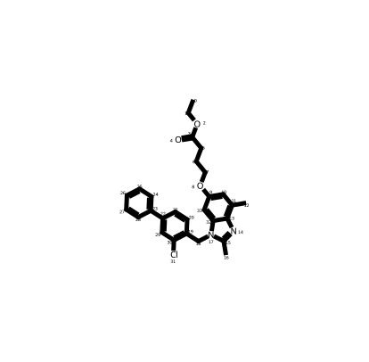 CCOC(=O)CCCOc1cc(C)c2nc(C)n(Cc3ccc(-c4ccccc4)cc3Cl)c2c1